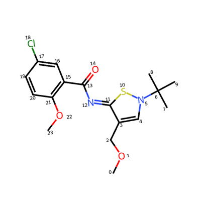 COCc1cn(C(C)(C)C)s/c1=N\C(=O)c1cc(Cl)ccc1OC